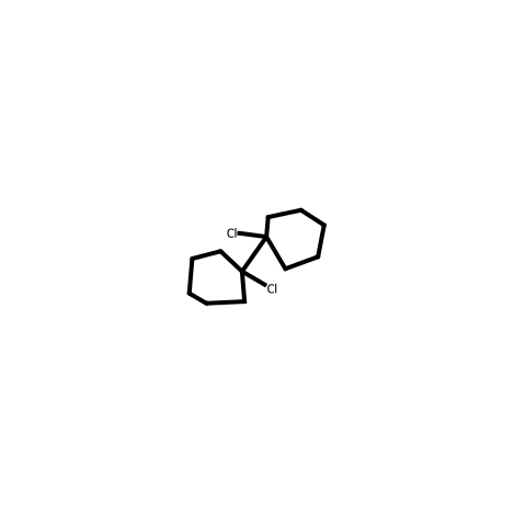 ClC1(C2(Cl)CCCCC2)CCCCC1